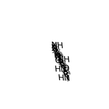 CNCc1ccc(NC(=O)c2ccc(C(=O)Nc3ccc(C4=CCN(C=N)CC4)nn3)cc2)cc1